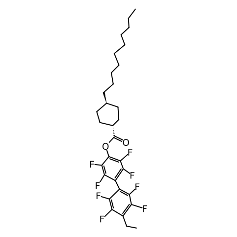 CCCCCCCCCC[C@H]1CC[C@H](C(=O)Oc2c(F)c(F)c(-c3c(F)c(F)c(CC)c(F)c3F)c(F)c2F)CC1